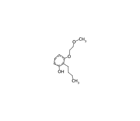 CCCCc1c(O)cccc1OCCOC